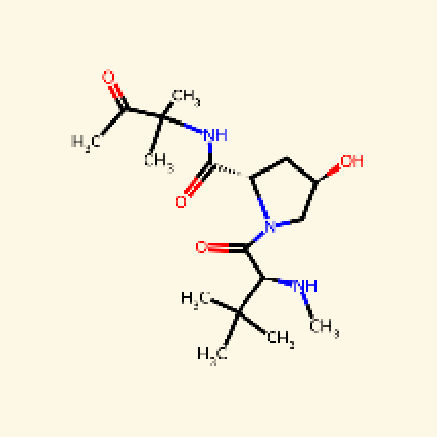 CN[C@H](C(=O)N1C[C@H](O)C[C@H]1C(=O)NC(C)(C)C(C)=O)C(C)(C)C